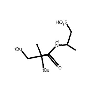 CC(CS(=O)(=O)O)NC(=O)C(C)(CC(C)(C)C)C(C)(C)C